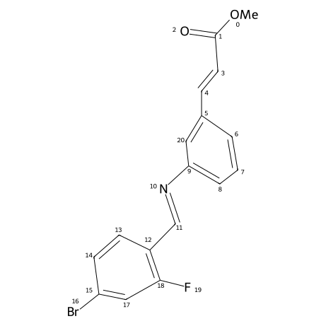 COC(=O)/C=C/c1cccc(/N=C/c2ccc(Br)cc2F)c1